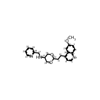 COc1ccc2nccc(CCC3OCC(NCc4ccccn4)CO3)c2c1